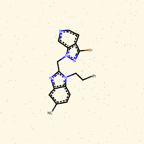 CC(C)CCn1c(Cn2nc(Br)c3ccncc32)nc2cc(C#N)ccc21